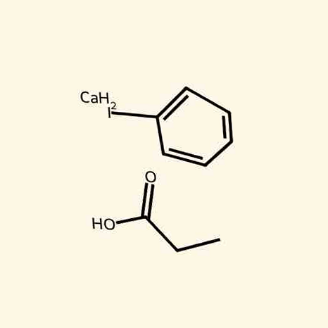 CCC(=O)O.Ic1ccccc1.[CaH2]